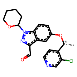 C[C@@H](Oc1ccc2c(c1)c(C=O)nn2C1CCCCO1)c1ccncc1Cl